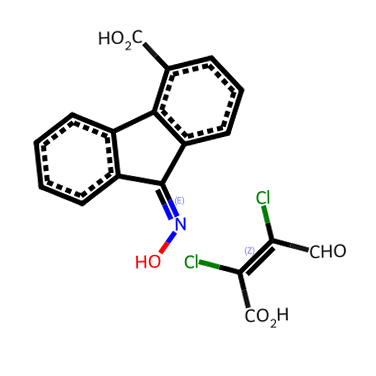 O=C(O)c1cccc2c1-c1ccccc1/C2=N\O.O=C/C(Cl)=C(/Cl)C(=O)O